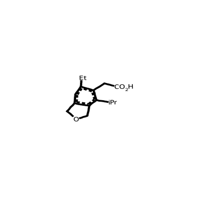 CCc1cc2c(c(C(C)C)c1CC(=O)O)COC2